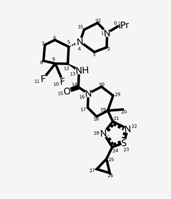 CC(C)N1CCN([C@H]2CCCC(F)(F)[C@@H]2NC(=O)N2CCC(C)(c3nsc(C4CC4)n3)CC2)CC1